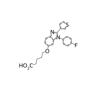 O=C(O)CCCCOc1ccc2nc(-c3ccsc3)n(-c3ccc(F)cc3)c2c1